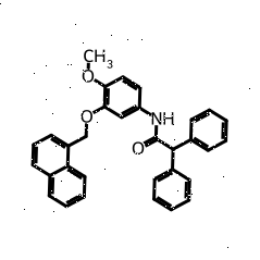 COc1ccc(NC(=O)C(c2ccccc2)c2ccccc2)cc1OCc1cccc2ccccc12